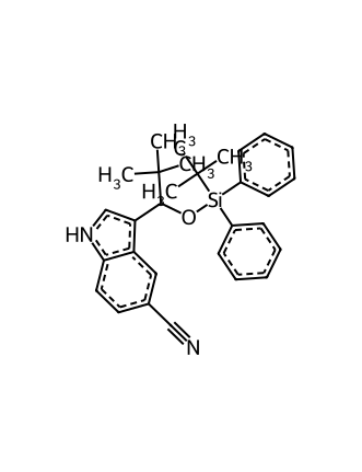 CC(C)(C)C(O[Si](c1ccccc1)(c1ccccc1)C(C)(C)C)c1c[nH]c2ccc(C#N)cc12